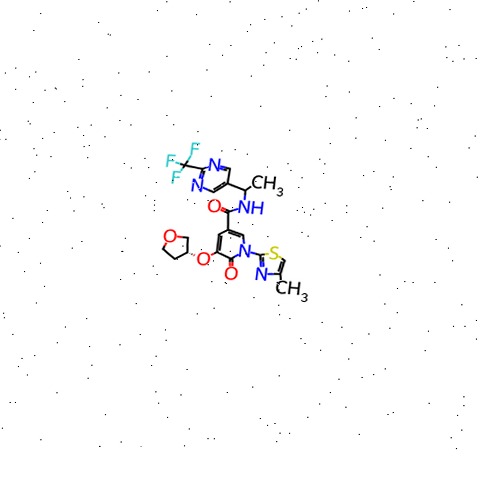 Cc1csc(-n2cc(C(=O)NC(C)c3cnc(C(F)(F)F)nc3)cc(O[C@@H]3CCOC3)c2=O)n1